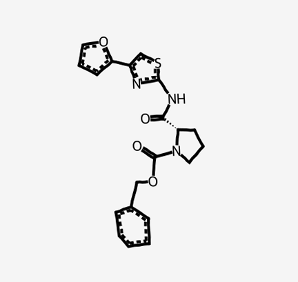 O=C(Nc1nc(-c2ccco2)cs1)[C@@H]1CCCN1C(=O)OCc1ccccc1